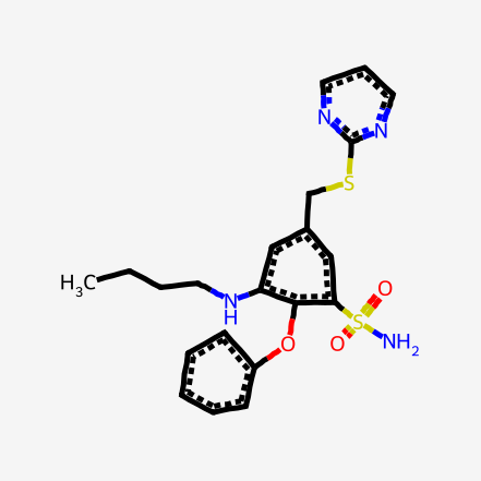 CCCCNc1cc(CSc2ncccn2)cc(S(N)(=O)=O)c1Oc1ccccc1